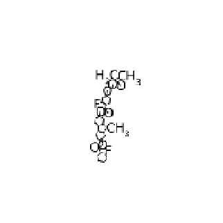 C=C(C)C(=O)OCOc1ccc(C(=O)Oc2ccc3c(c2)C(C)c2cc(OC(=O)c4ccccc4F)ccc2-3)c(F)c1